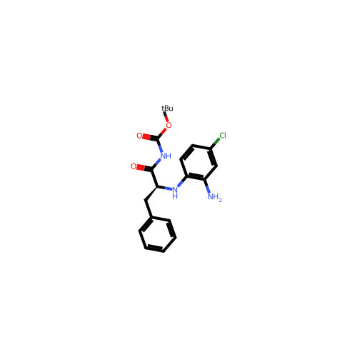 CC(C)(C)OC(=O)NC(=O)[C@H](Cc1ccccc1)Nc1ccc(Cl)cc1N